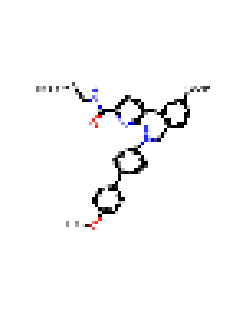 COc1ccc(CNc2ccc(-c3ccc(OC(F)(F)F)cc3)cc2)c(-c2ccc(C(=O)NCCC(=O)O)nc2)c1